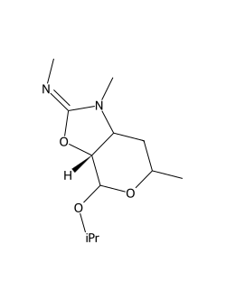 C/N=C1/O[C@H]2C(OC(C)C)OC(C)CC2N1C